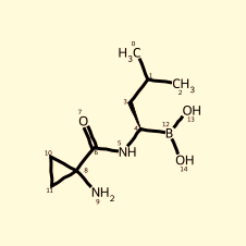 CC(C)C[C@H](NC(=O)C1(N)CC1)B(O)O